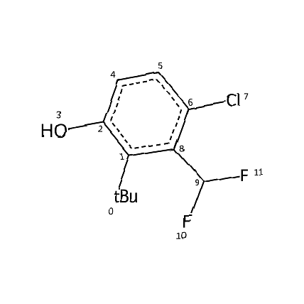 CC(C)(C)c1c(O)ccc(Cl)c1C(F)F